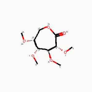 CO[C@H]1[C@H](OC)[C@@H](OC)C(=O)OC[C@H]1OC